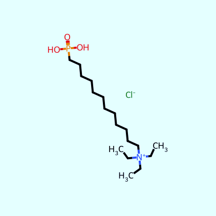 CC[N+](CC)(CC)CCCCCCCCCCCCP(=O)(O)O.[Cl-]